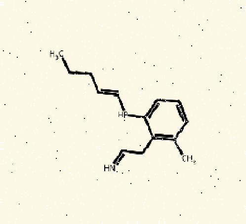 CCC/C=C/Pc1cccc(C)c1CC=N